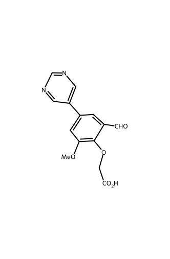 COc1cc(-c2cncnc2)cc(C=O)c1OCC(=O)O